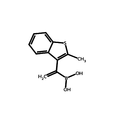 C=C(B(O)O)c1c(C)sc2ccccc12